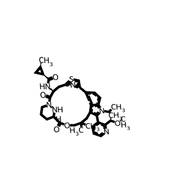 CCn1c(-c2cccnc2[C@H](C)OC)c2c3cc(ccc31)-c1csc(n1)C[C@H](NC(=O)[C@H]1C[C@@H]1C)C(=O)N1CCC[C@H](N1)C(=O)OCC(C)(C)C2